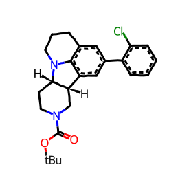 CC(C)(C)OC(=O)N1CC[C@H]2[C@@H](C1)c1cc(-c3ccccc3Cl)cc3c1N2CCC3